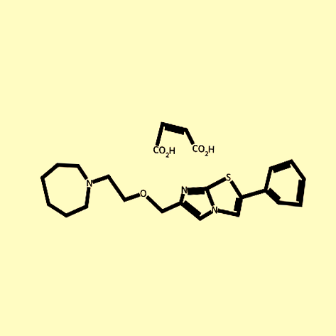 O=C(O)/C=C\C(=O)O.c1ccc(-c2cn3cc(COCCN4CCCCCC4)nc3s2)cc1